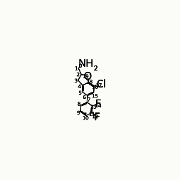 NCC1Cc2cc(-c3cc[c]c(F)c3F)cc(Cl)c2O1